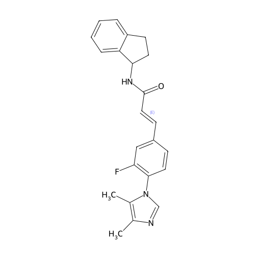 Cc1ncn(-c2ccc(/C=C/C(=O)NC3CCc4ccccc43)cc2F)c1C